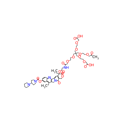 CCc1c2c(nc3ccc(OC(=O)N4CCC(N5CCCCC5)CC4)cc13)-c1cc3c(c(=O)n1C2)COC(=O)C3(CC)OC(=O)CNC(=O)COCCOCC(COCCOCC(C)=O)(COCCOCC(=O)O)COCCOCC(=O)O